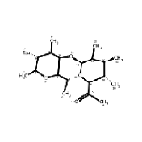 CCC1OC(C)[C@H]([Rb])C(C)[C@H]1O[C@@H]1OC(C(C)=O)[C@@H](C)[C@H](C)C1C